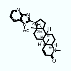 CC(=O)n1c([C@H]2CC[C@H]3[C@@H]4CC[C@H]5N(C)C(=O)C=C[C@]5(C)[C@H]4CC[C@]23C)nc2ncccc21